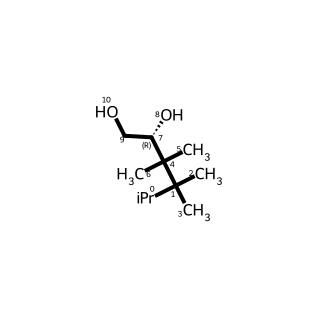 CC(C)C(C)(C)C(C)(C)[C@@H](O)CO